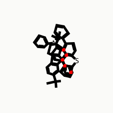 CC(C)(C)C1=CC2=C(CC1)c1ccc(C(C)(C)C)cc1C21c2ccccc2Sc2ccc(-c3ccccc3N(c3ccccc3)c3ccc(-c4ccccc4)cc3)cc21